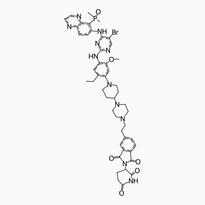 CCc1cc(Nc2ncc(Br)c(Nc3ccc4nccnc4c3P(C)(C)=O)n2)c(OC)cc1N1CCC(N2CCN(CCc3ccc4c(c3)C(=O)N(C3CCC(=O)NC3=O)C4=O)CC2)CC1